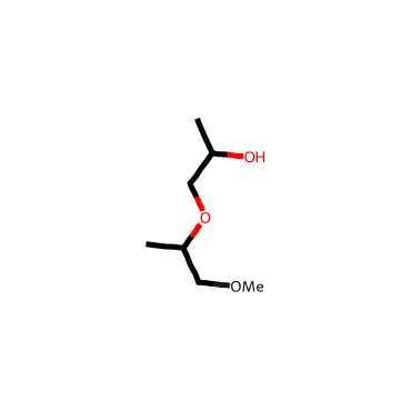 COCC(C)OCC(C)O